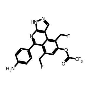 Nc1ccc(-c2nc3[nH]ncc3c3c(CF)c(OC(=O)C(F)(F)F)cc(CF)c23)cc1